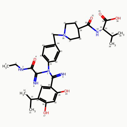 CCNC(=O)C(=N)N(C(=N)c1cc(C(C)C)c(O)cc1O)c1ccc(CN2CCC(C(=O)N[C@H](C(=O)O)C(C)C)CC2)cc1